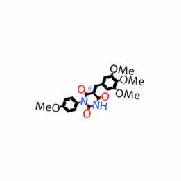 COc1ccc(N2C(=O)NC(=O)/C(=C\c3cc(OC)c(OC)c(OC)c3)C2=O)cc1